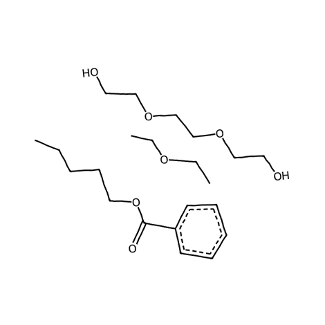 CCCCCOC(=O)c1ccccc1.CCOCC.OCCOCCOCCO